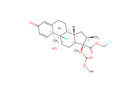 CCCOC(=O)O[C@]1(C(=O)OCF)[C@H](C)C[C@H]2[C@@H]3CCC4=CC(=O)C=C[C@]4(C)[C@@]3(F)[C@@H](O)C[C@@]21C